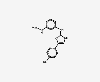 CSNc1cccc(NC2NC=C(c3ccc(C#N)cc3)O2)c1